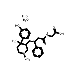 CN1CCC(C)(c2cccc(O)c2)C(C[C@@H](CC(=O)NCC(=O)O)c2ccccc2)C1.O.O